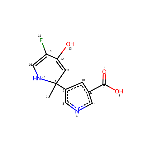 CC1(c2cncc(C(=O)O)c2)C=C(O)C(F)=CN1